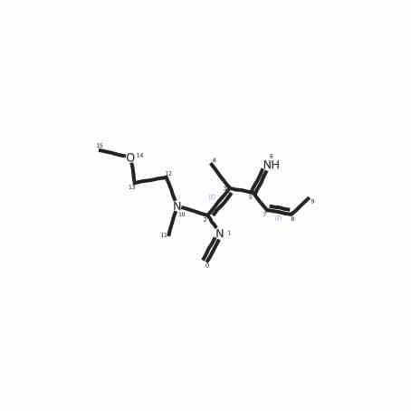 C=N/C(=C(/C)C(=N)/C=C\C)N(C)CCOC